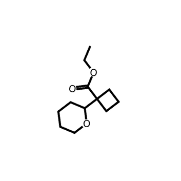 CCOC(=O)C1(C2CCCCO2)CCC1